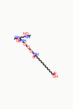 CCC(=O)NC(CCCNC(O)CC)C(=O)NCCOCCOCCOCCNC(=O)CCCCCCCCCCCCCCCCC(=O)O